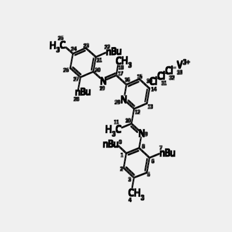 CCCCc1cc(C)cc(CCCC)c1N=C(C)c1cccc(C(C)=Nc2c(CCCC)cc(C)cc2CCCC)n1.[Cl-].[Cl-].[Cl-].[V+3]